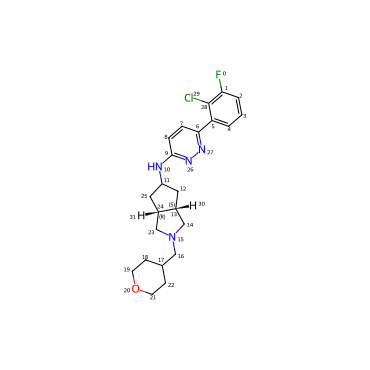 Fc1cccc(-c2ccc(NC3C[C@@H]4CN(CC5CCOCC5)C[C@@H]4C3)nn2)c1Cl